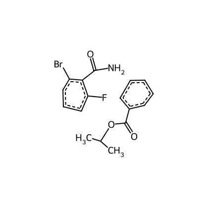 CC(C)OC(=O)c1ccccc1.NC(=O)c1c(F)cccc1Br